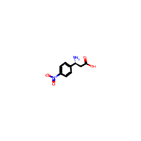 N[C@H](CC(=O)O)c1ccc([N+](=O)[O-])cc1